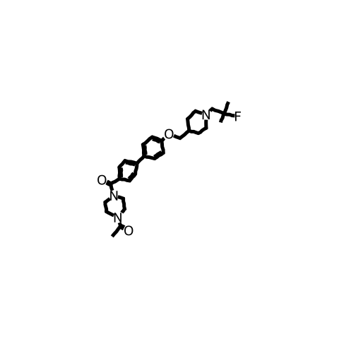 CC(=O)N1CCN(C(=O)c2ccc(-c3ccc(OCC4CCN(CC(C)(C)F)CC4)cc3)cc2)CC1